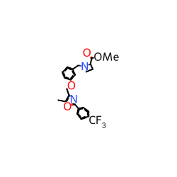 COC(=O)C1CCN1Cc1cccc(OCc2nc(-c3ccc(C(F)(F)F)cc3)oc2C)c1